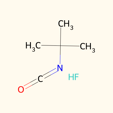 CC(C)(C)N=C=O.F